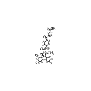 Cc1c(C(=O)Nc2ccc(C(=O)NCCC(=O)O)cc2)nn(-c2ccc(Cl)cc2Cl)c1-c1ccc(Cl)cc1